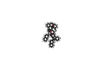 c1ccc2c(c1)Sc1ccccc1C21c2cc(N(c3ccc4ccccc4c3)c3ccc4c5ccccc5n(-c5ccc6ccccc6c5)c4c3)ccc2-c2cccc3cccc1c23